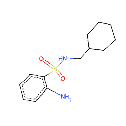 Nc1ccccc1S(=O)(=O)NCC1CCCCC1